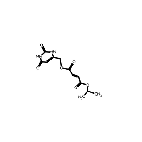 CC(C)OC(=O)/C=C/C(=O)OCc1cc(=O)[nH]c(=O)[nH]1